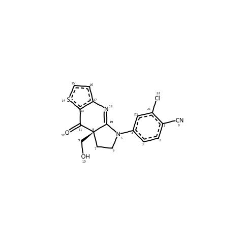 N#Cc1ccc(N2CC[C@]3(CO)C(=O)c4sccc4N=C23)cc1Cl